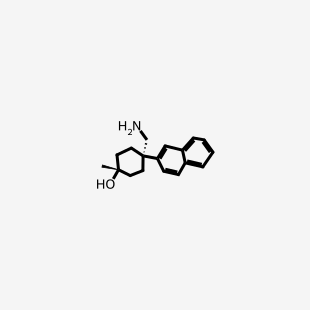 C[C@]1(O)CC[C@](CN)(c2ccc3ccccc3c2)CC1